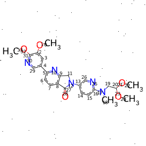 COc1cc(-c2ccc3c(n2)CN(c2ccc(N(C)CC(OC)OC)nc2)C3=O)cnc1OC